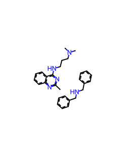 Cc1nc(NCCCN(C)C)c2ccccc2n1.c1ccc(CNCc2ccccc2)cc1